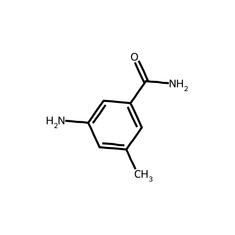 Cc1cc(N)cc(C(N)=O)c1